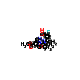 C=C/C(=N\C(C(=O)Nc1c(C)cc(C(=O)OC)cc1C)=C(C)C)c1ccc(F)c(CO)c1